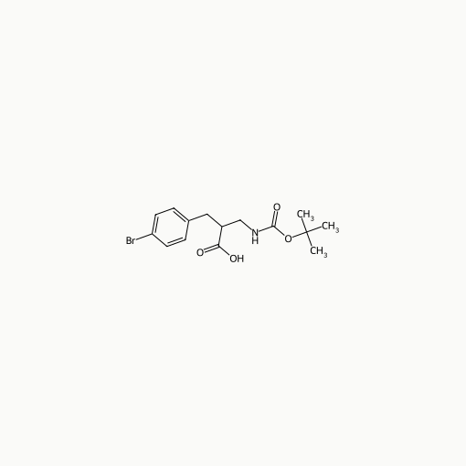 CC(C)(C)OC(=O)NCC(Cc1ccc(Br)cc1)C(=O)O